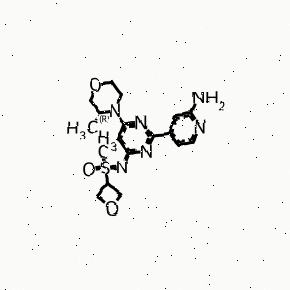 C[C@@H]1COCCN1c1cc(N=S(C)(=O)C2COC2)nc(-c2ccnc(N)c2)n1